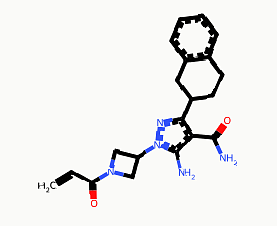 C=CC(=O)N1CC(n2nc(C3CCc4ccccc4C3)c(C(N)=O)c2N)C1